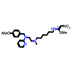 COc1ccc(CN(CCN(C)CCCCCCN/C(=C/[N+](=O)[O-])SC)c2ccccn2)cc1